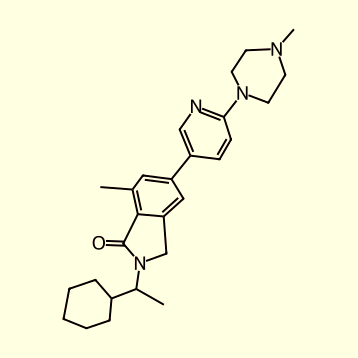 Cc1cc(-c2ccc(N3CCN(C)CC3)nc2)cc2c1C(=O)N(C(C)C1CCCCC1)C2